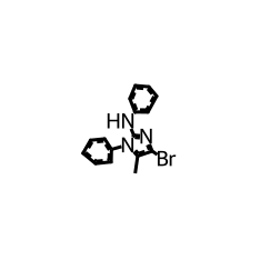 Cc1c(Br)nc(Nc2ccccc2)n1-c1ccccc1